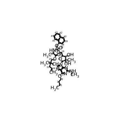 C=CCCOc1nc(NC)nc2c1ncn2C1OC(COP(=O)(N[C@@H](C)C(=O)OCC(C)(C)CC=C)Oc2cccc3ccccc23)[C@@H](O)[C@@]1(C)O